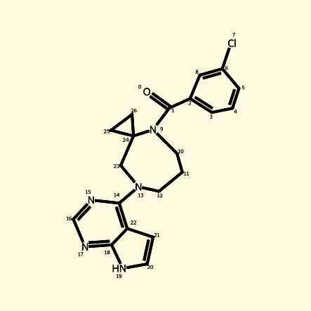 O=C(c1cccc(Cl)c1)N1CCCN(c2ncnc3[nH]ccc23)CC12CC2